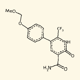 COCOc1ccc(-c2cc(C(N)=O)c(=O)[nH]c2C(F)(F)F)cc1